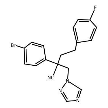 N#CC(CCc1ccc(F)cc1)(Cn1cncn1)c1ccc(Br)cc1